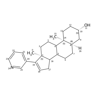 C[C@]12CCC3C(CC[C@@H]4C[C@@H](O)CC[C@]34C)C1CC=C2c1cccnc1